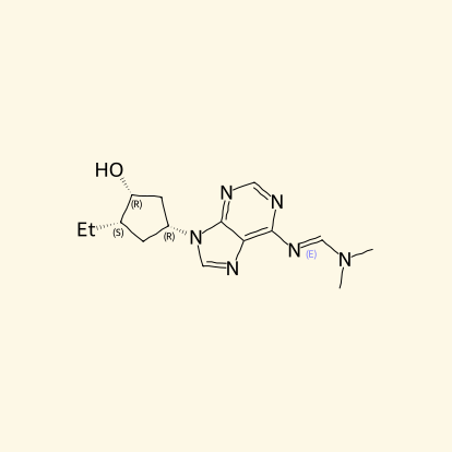 CC[C@H]1C[C@@H](n2cnc3c(/N=C/N(C)C)ncnc32)C[C@H]1O